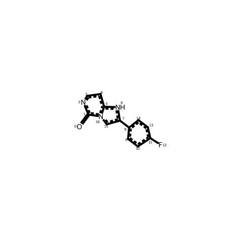 O=c1nccc2[nH]c(-c3ccc(F)cc3)cn12